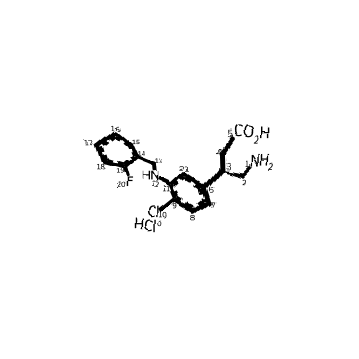 Cl.NC[C@H](CC(=O)O)c1ccc(Cl)c(NCc2ccccc2F)c1